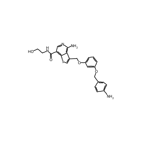 Nc1ccc(COc2cccc(OCc3csc4c(C(=O)NCCO)cnc(N)c34)c2)cc1